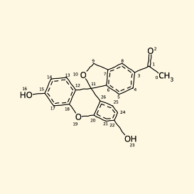 CC(=O)c1ccc2c(c1)COC21c2ccc(O)cc2Oc2cc(O)ccc21